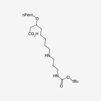 CCCCCOC(CCCCCNCCCNC(=O)OC(C)(C)C)CC(=O)O